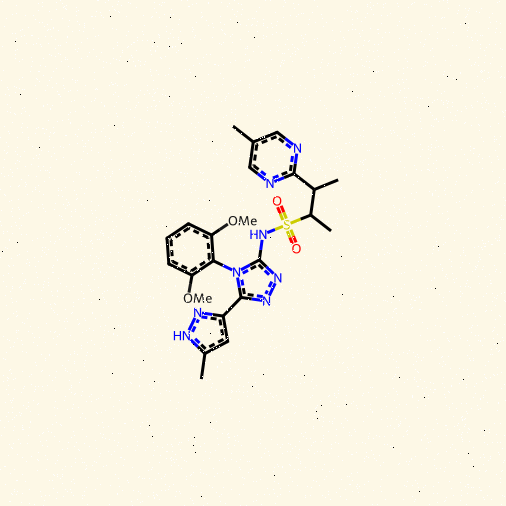 COc1cccc(OC)c1-n1c(NS(=O)(=O)C(C)C(C)c2ncc(C)cn2)nnc1-c1cc(C)[nH]n1